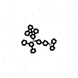 c1ccc(-c2cc(-c3ccccc3)cc(N(c3ccc(-c4ccc(-n5c6ccccc6c6ccccc65)cc4)cc3)c3ccc(C4(c5ccccc5)c5ccccc5-c5ccccc54)cc3)c2)cc1